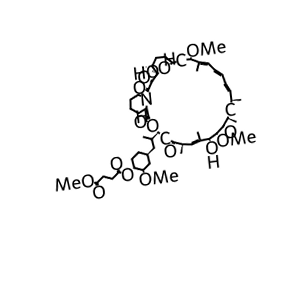 COC(=O)CCC(=O)O[C@@H]1CC[C@@H](CC(C)[C@@H]2CC(=O)[C@H](C)/C=C(\C)[C@@H](O)[C@@H](OC)C(=O)[C@H](C)C[C@H](C)/C=C/C=C/C=C(\C)[C@@H](OC)C[C@@H]3CC[C@@H](C)[C@@](O)(O3)C(=O)C(=O)N3CCCC[C@H]3C(=O)O2)C[C@H]1OC